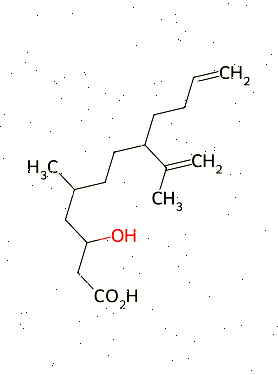 C=CCCC(CCC(C)CC(O)CC(=O)O)C(=C)C